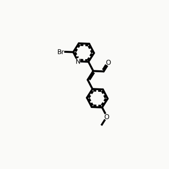 COc1ccc(C=C(C=O)c2cccc(Br)n2)cc1